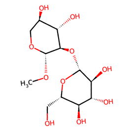 CO[C@@H]1OC[C@@H](O)[C@H](O)[C@H]1O[C@H]1O[C@@H](CO)[C@H](O)[C@@H](O)[C@@H]1O